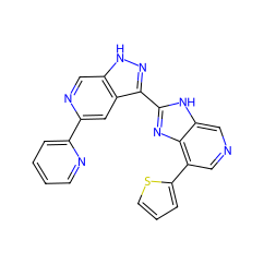 c1ccc(-c2cc3c(-c4nc5c(-c6cccs6)cncc5[nH]4)n[nH]c3cn2)nc1